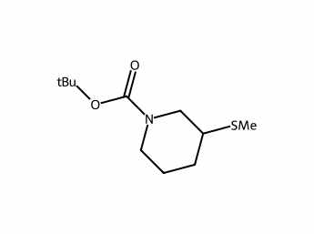 CSC1CCCN(C(=O)OC(C)(C)C)C1